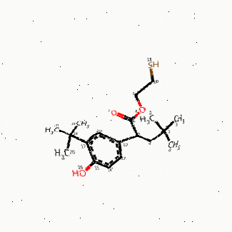 CC(C)(C)CC(C(=O)OCCS)c1ccc(O)c(C(C)(C)C)c1